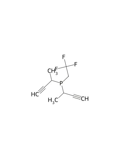 C#CC(C)P(CC(F)(F)F)C(C)C#C